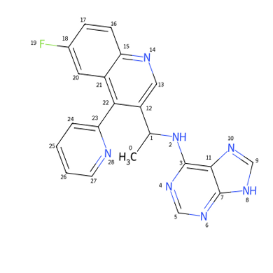 CC(Nc1ncnc2[nH]cnc12)c1cnc2ccc(F)cc2c1-c1ccccn1